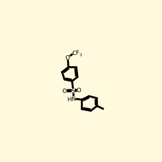 Cc1ccc(NS(=O)(=O)c2ccc(OC(F)(F)F)cc2)cc1